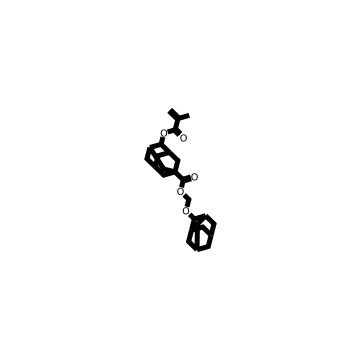 C=C(C)C(=O)OC1C2CC3CC1CC(C(=O)OCOC1C4CC5CC(C4)CC1C5)(C3)C2